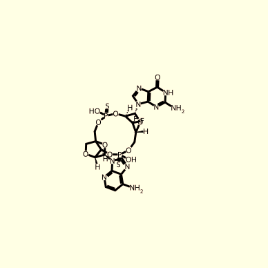 Nc1nc2c(ncn2[C@@H]2O[C@@H]3COP(O)(=S)O[C@H]4[C@H]5OCC4(COP(O)(=S)O[C@@H]2C3(F)F)O[C@H]5n2cnc3c(N)ccnc32)c(=O)[nH]1